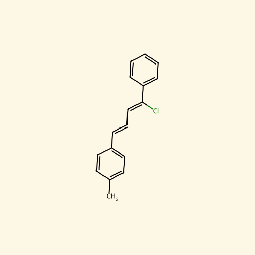 Cc1ccc(C=CC=C(Cl)c2ccccc2)cc1